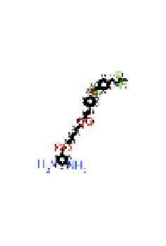 Nc1cc(N)cc(C(=O)OCCCCCCOC(=O)/C=C/c2ccc(OC(F)(F)c3ccc(CCC(F)(F)F)cc3)cc2)c1